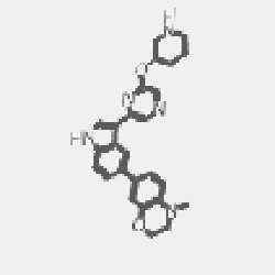 CN1CCOc2cc(-c3ccc4[nH]cc(-c5cncc(O[C@@H]6CCCNC6)n5)c4c3)ccc21